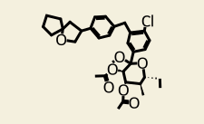 CC[C@H]1OC(OC)(c2ccc(Cl)c(Cc3ccc(C4COC5(CCCC5)C4)cc3)c2)[C@H](OC(C)=O)[C@@H](OC(C)=O)[C@@H]1C